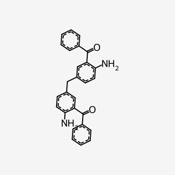 Nc1ccc(Cc2ccc(N)c(C(=O)c3ccccc3)c2)cc1C(=O)c1ccccc1